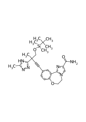 Cc1nnc(C(C)(C#Cc2ccc3c(c2)-c2nc(C(N)=O)cn2CCO3)CO[Si](C)(C)C(C)(C)C)[nH]1